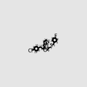 Fc1ccc(CSCC2COC(CCc3ccc(Cl)cc3)(Cn3ccnc3)O2)cc1